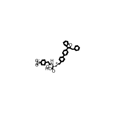 O=C(Cc1ccc([N+](=O)[O-])cc1)N[C@@H](CSCc1ccc(-c2ccc(-c3c(Cc4ccccc4)oc4ccccc34)cc2)cc1)C(=O)O